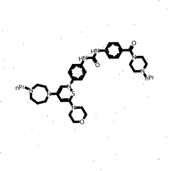 CCCN1CCN(C(=O)c2ccc(NC(=O)Nc3ccc(N4C=C(N5CCCN(CCC)CC5)C=C(N5CCOCC5)S4)cc3)cc2)CC1